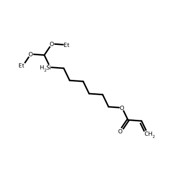 C=CC(=O)OCCCCCC[SiH2]C(OCC)OCC